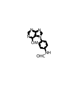 COc1ncnc2ncn(-c3ccc(NC=O)cc3)c12